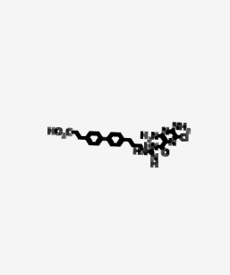 N=C(NCCCc1ccc(-c2ccc(CCC(=O)O)cc2)cc1)NC(=O)c1nc(Cl)c(N)nc1N